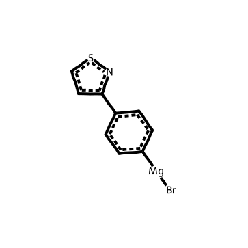 [Br][Mg][c]1ccc(-c2ccsn2)cc1